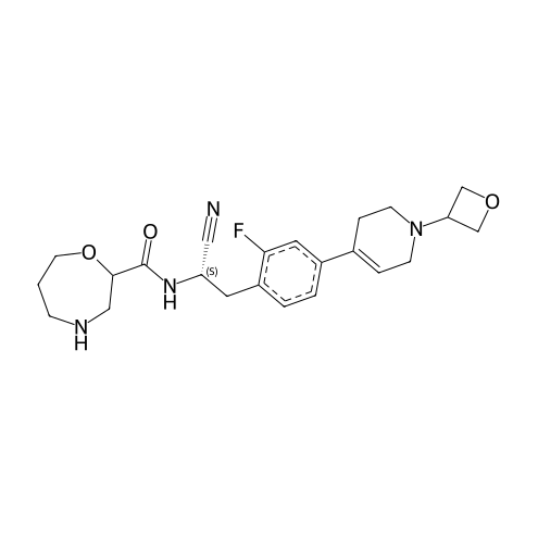 N#C[C@H](Cc1ccc(C2=CCN(C3COC3)CC2)cc1F)NC(=O)C1CNCCCO1